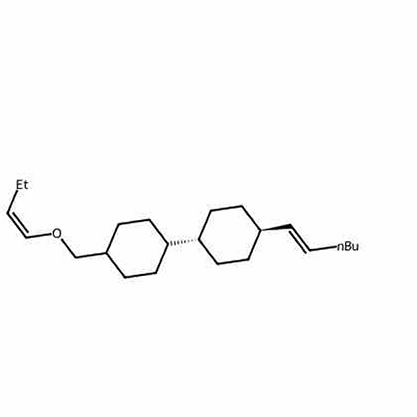 CC/C=C\OCC1CCC([C@H]2CC[C@H](/C=C/CCCC)CC2)CC1